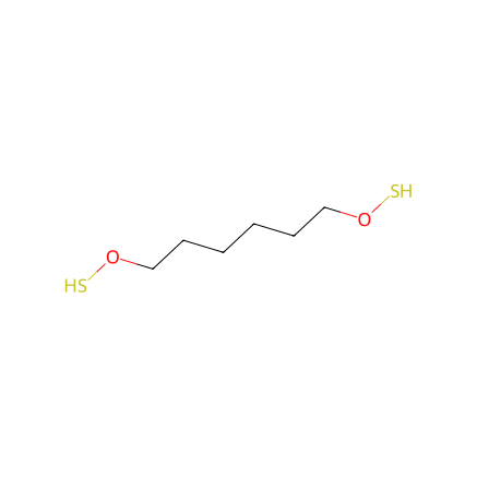 SOCCCCCCOS